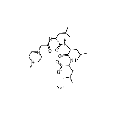 CC(C)C[C@H](NC(=O)[C@H](CC(C)C)NC(=O)[C@H](CC(C)C)NC(=O)CN1CCN(C)CC1)C(=O)[O-].[Na+]